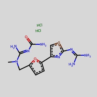 CN(Cc1ccc(-c2csc(N=C(N)N)n2)o1)C(N)=NC(N)=O.Cl.Cl